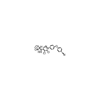 N#Cc1ccc(Oc2ccc(-n3ncc(N[C@H]4C5CCO[C@H]4C5)c(Cl)c3=O)cc2)cc1